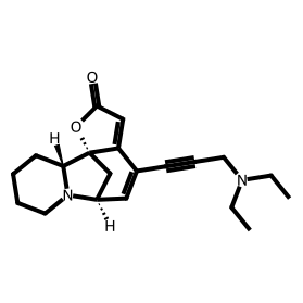 CCN(CC)CC#CC1=C[C@@H]2C[C@@]3(OC(=O)C=C13)[C@H]1CCCCN21